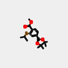 COC(=O)c1ccc(B2OC(C)(C)C(C)(C)O2)cc1SC(C)C